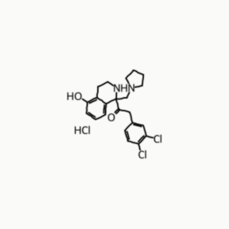 Cl.O=C(Cc1ccc(Cl)c(Cl)c1)C1(CN2CCCC2)NCCc2c(O)cccc21